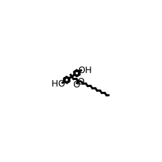 CCCCCCCCCCCCOC(=O)CCC(C)(c1ccc(O)cc1)c1ccc(O)cc1